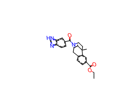 CCOC(=O)c1ccc2c(c1)C1(C)CCN(C(=O)c3ccc4nc[nH]c4c3)C(C2)C1C